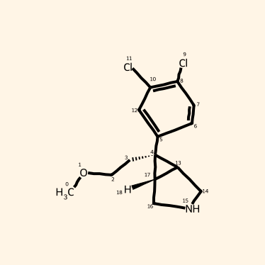 COCC[C@]1(c2ccc(Cl)c(Cl)c2)C2CNC[C@@H]21